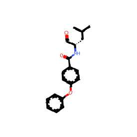 CC(C)C[C@@H]([C]=O)NC(=O)c1ccc(Oc2ccccc2)cc1